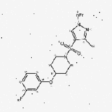 CCCn1cc(S(=O)(=O)N2CCC(Oc3cccc(F)c3)CC2)c(C)n1